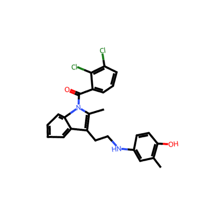 Cc1cc(NCCc2c(C)n(C(=O)c3cccc(Cl)c3Cl)c3ccccc23)ccc1O